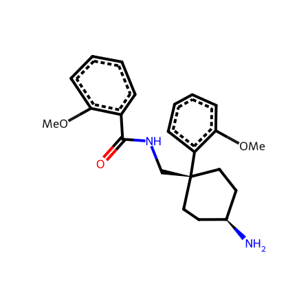 COc1ccccc1C(=O)NC[C@]1(c2ccccc2OC)CC[C@H](N)CC1